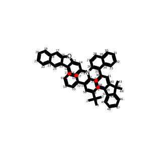 CC(C)(C)c1ccc(N(c2ccc3c(c2)oc2cc4ccccc4cc23)c2ccc3ccccc3c2-c2ccc3c(c2)C(C)(C)c2ccccc2-3)c(-c2ccccc2)c1